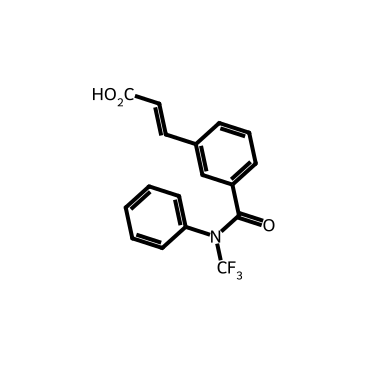 O=C(O)/C=C/c1cccc(C(=O)N(c2ccccc2)C(F)(F)F)c1